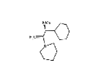 C=C([C@@H](NC)C1CCCCC1)N1CCCCC1